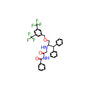 O=C(CNC(COCc1cc(C(F)(F)F)cc(C(F)(F)F)c1)C(c1ccccc1)c1ccccc1)NC(=O)c1ccccc1